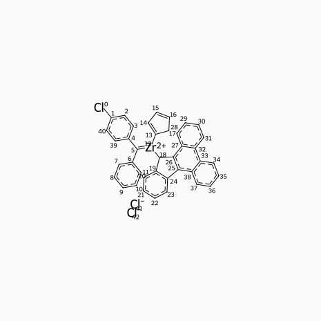 Clc1ccc(/[C](c2ccccc2)=[Zr+2](\[C]2=CC=CC2)[CH]2c3ccccc3-c3c2c2ccccc2c2ccccc32)cc1.[Cl-].[Cl-]